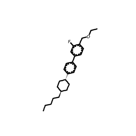 CCCCC[C@H]1CC[C@H](c2ccc(-c3ccc(COCC)c(F)c3)cc2)CC1